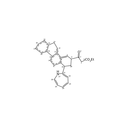 CCOC(=O)CC(=O)C1C=c2c(ccc3c2=CCc2ccccc2-3)C(C2=CC=CC=CN2)C1